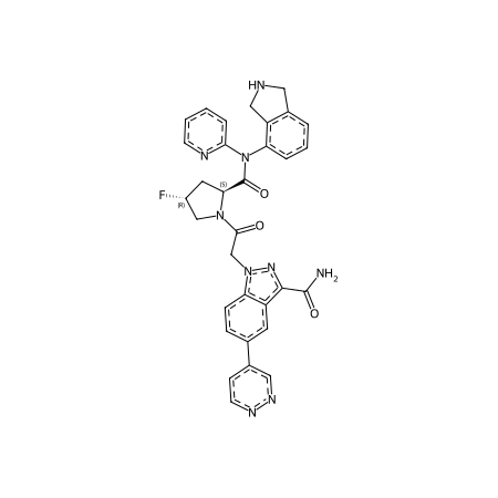 NC(=O)c1nn(CC(=O)N2C[C@H](F)C[C@H]2C(=O)N(c2ccccn2)c2cccc3c2CNC3)c2ccc(-c3ccnnc3)cc12